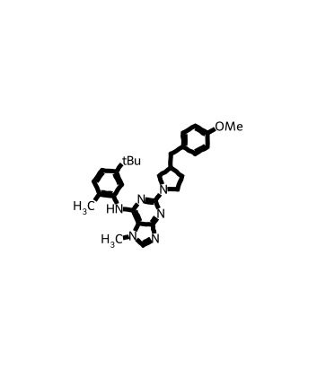 COc1ccc(CC2CCN(c3nc(Nc4cc(C(C)(C)C)ccc4C)c4c(ncn4C)n3)C2)cc1